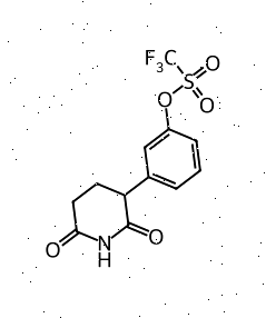 O=C1CCC(c2cccc(OS(=O)(=O)C(F)(F)F)c2)C(=O)N1